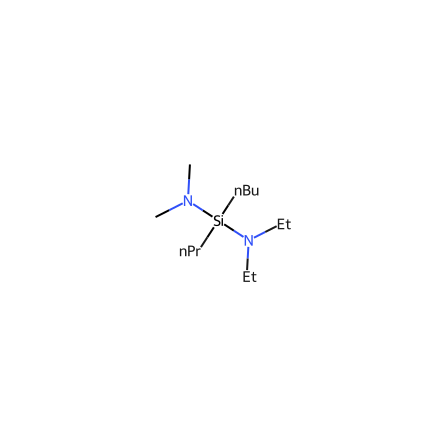 CCCC[Si](CCC)(N(C)C)N(CC)CC